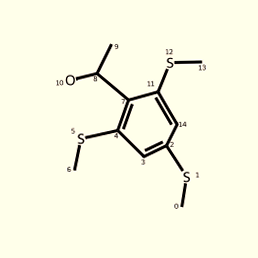 CSc1cc(SC)c(C(C)[O])c(SC)c1